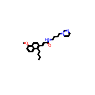 CCCCc1c(/C=C/C(=O)NCCCCN2C=CC=NC2)ccc2c(OC)cccc12